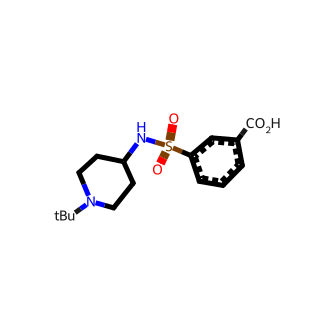 CC(C)(C)N1CCC(NS(=O)(=O)c2cccc(C(=O)O)c2)CC1